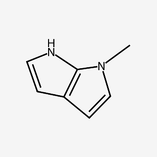 Cn1ccc2cc[nH]c21